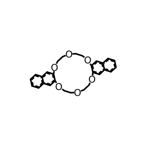 c1ccc2cc3c(cc2c1)OCCOCCOc1cc2ccccc2cc1OCCOCCO3